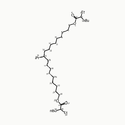 CCCCC(CC)C(=O)OCCCCCCCCCC(CCCCCCCCCOC(=O)C(CC)CCCC)C(C)C